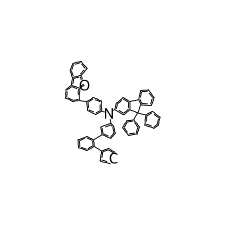 c1ccc(-c2ccccc2-c2cccc(N(c3ccc(-c4cccc5c4oc4ccccc45)cc3)c3ccc4c(c3)C(c3ccccc3)(c3ccccc3)c3ccccc3-4)c2)cc1